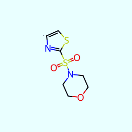 O=S(=O)(c1n[c]cs1)N1CCOCC1